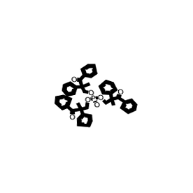 CC(COP(=O)(OCC(C)(C(=O)c1ccccc1)c1ccccc1)OCC(C)(C(=O)c1ccccc1)c1ccccc1)(C(=O)c1ccccc1)c1ccccc1